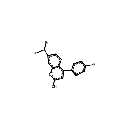 N#Cc1cc(-c2ccc(F)cc2)c2ccc(C(Br)Br)cc2n1